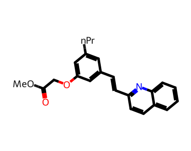 CCCc1cc(C=Cc2ccc3ccccc3n2)cc(OCC(=O)OC)c1